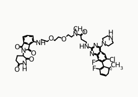 C[C@H]1CC=CC(F)=C1c1c(Cl)cc2c(N3CCNCC3)nc(NCCC(=O)N(C)CCOCCOCCNc3cccc4c3C(=O)N(C3CCC(=O)NC3=O)C4=O)nc2c1F